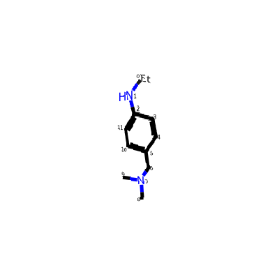 CCNc1ccc(CN(C)C)cc1